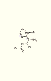 CCCNC(/N=C\N)=C(\N)C(CC)NC(=O)C(C)C